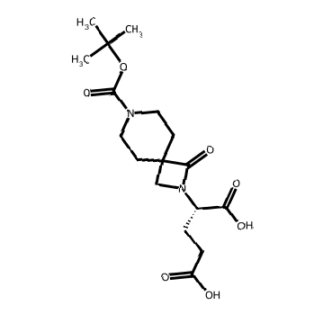 CC(C)(C)OC(=O)N1CCC2(CC1)CN([C@@H](CCC(=O)O)C(=O)O)C2=O